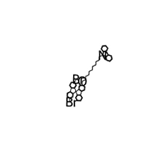 Brc1ccc2c(c1)C1(c3ccccc3-c3ccc(OCCCCCCCCCCn4c5ccccc5c5ccccc54)cc31)c1cc(Br)ccc1-2